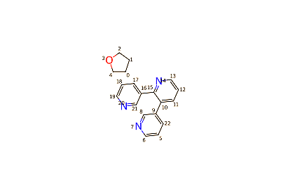 C1CCOC1.c1cncc(-c2cccnc2-c2cccnc2)c1